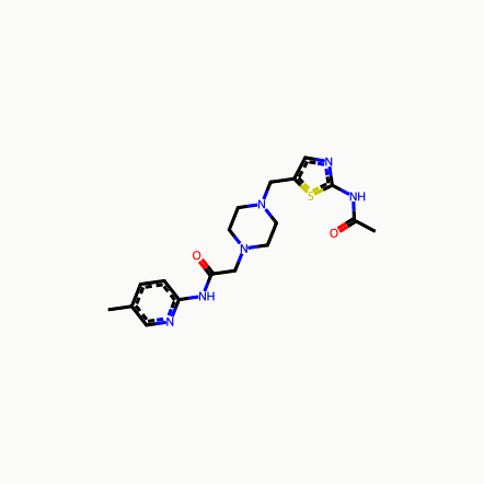 CC(=O)Nc1ncc(CN2CCN(CC(=O)Nc3ccc(C)cn3)CC2)s1